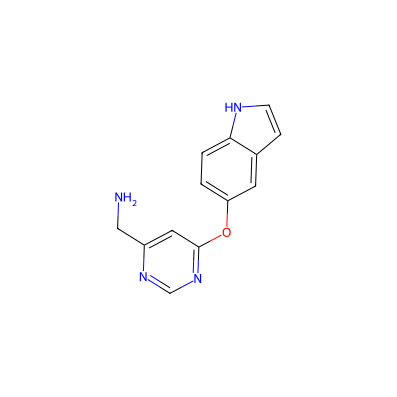 NCc1cc(Oc2ccc3[nH]ccc3c2)ncn1